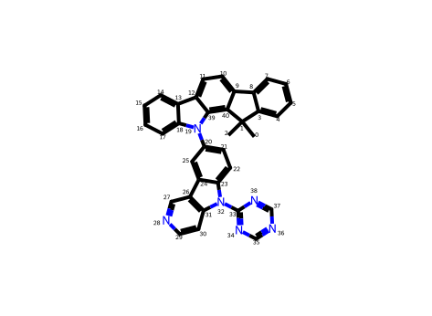 CC1(C)c2ccccc2-c2ccc3c4ccccc4n(-c4ccc5c(c4)c4cnccc4n5-c4ncncn4)c3c21